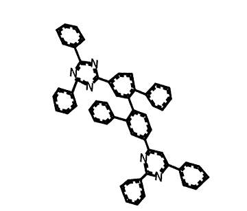 c1ccc(-c2cc(-c3ccc(-c4cc(-c5nc(-c6ccccc6)nc(-c6ccccc6)n5)ccc4-c4ccccc4)c(-c4ccccc4)c3)nc(-c3ccccc3)n2)cc1